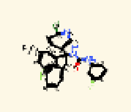 O=C(Nc1cccc(F)c1)NC(Cc1ccccc1)(c1ccc(Cl)nc1)c1cc(F)cc(C(F)(F)F)c1